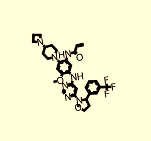 C=CC(=O)Nc1cc(Nc2cc(N3OCCC3c3cccc(C(F)(F)F)c3)ncn2)c(OC)cc1N1CCC(N2CCC2)CC1